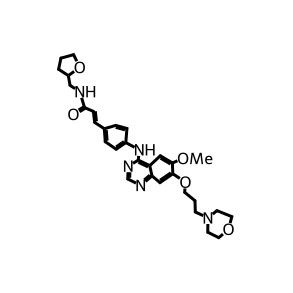 COc1cc2c(Nc3ccc(/C=C/C(=O)NCC4CCCO4)cc3)ncnc2cc1OCCCN1CCOCC1